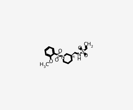 C=CS(=O)(=O)NC[C@H]1CCCN(S(=O)(=O)c2ccccc2OC)C1